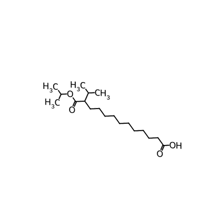 CC(C)OC(=O)C(CCCCCCCCCCC(=O)O)C(C)C